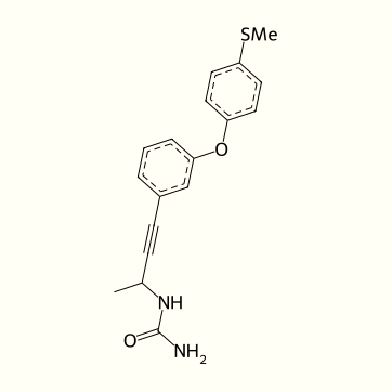 CSc1ccc(Oc2cccc(C#CC(C)NC(N)=O)c2)cc1